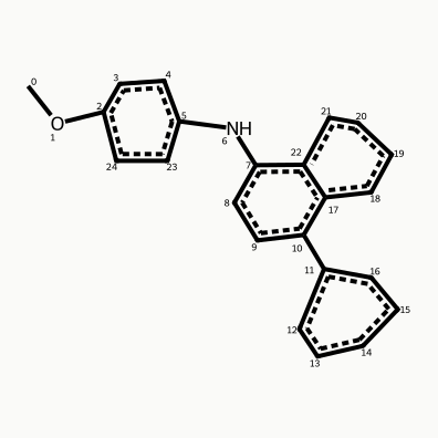 COc1ccc(Nc2ccc(-c3ccccc3)c3ccccc23)cc1